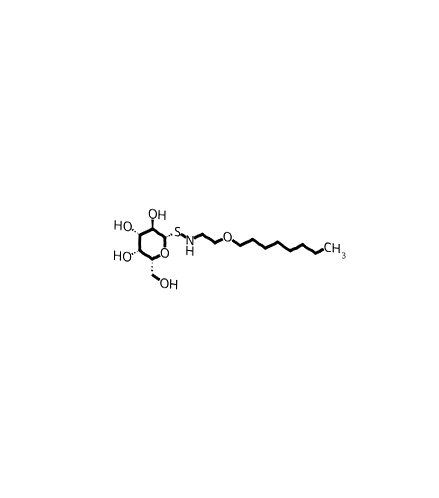 CCCCCCCCOCCNS[C@@H]1O[C@H](CO)[C@H](O)[C@H](O)[C@H]1O